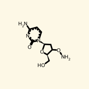 NOC1C[C@H](n2ccc(N)nc2=O)O[C@@H]1CO